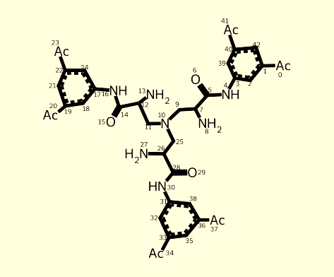 CC(=O)c1cc(NC(=O)C(N)CN(CC(N)C(=O)Nc2cc(C(C)=O)cc(C(C)=O)c2)CC(N)C(=O)Nc2cc(C(C)=O)cc(C(C)=O)c2)cc(C(C)=O)c1